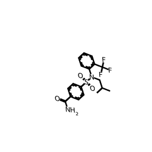 CC(C)CN(c1ccccc1C(F)(F)F)S(=O)(=O)c1ccc(C(N)=O)cc1